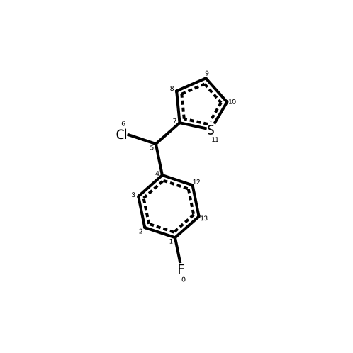 Fc1ccc(C(Cl)c2cccs2)cc1